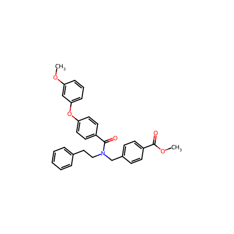 COC(=O)c1ccc(CN(CCc2ccccc2)C(=O)c2ccc(Oc3cccc(OC)c3)cc2)cc1